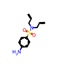 C=CCN(CC=C)S(=O)(=O)c1ccc(N)cc1